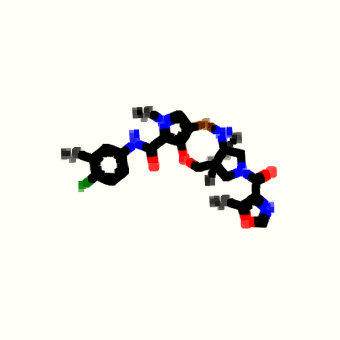 Cc1cc(NC(=O)c2c3c(cn2C)SN[C@H]2CN(C(=O)c4ncoc4C)C[C@@H]2CO3)ccc1F